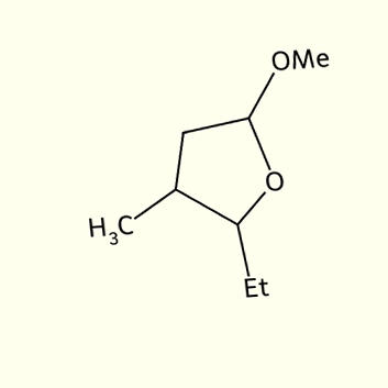 CCC1OC(OC)CC1C